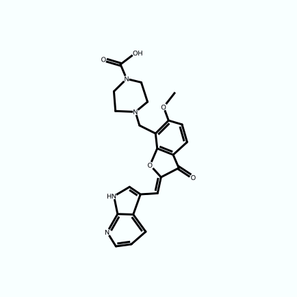 COc1ccc2c(c1CN1CCN(C(=O)O)CC1)OC(=Cc1c[nH]c3ncccc13)C2=O